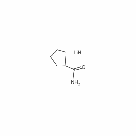 NC(=O)C1CCCC1.[LiH]